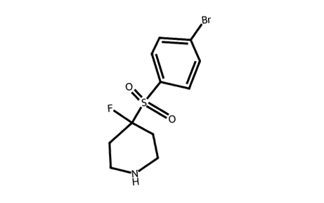 O=S(=O)(c1ccc(Br)cc1)C1(F)CCNCC1